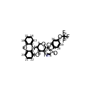 CN=S(=O)(/C=N\[C@@H]1COC[C@H](N2c3ccccc3Oc3ccccc32)[C@@H]1O)c1ccc(OC(F)(F)F)cc1